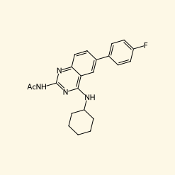 CC(=O)Nc1nc(NC2CCCCC2)c2cc(-c3ccc(F)cc3)ccc2n1